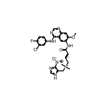 COc1cc2ncnc(Nc3ccc(F)c(Cl)c3)c2cc1NC(=O)/C=C/C[N+](C)(C)Cc1[nH]cnc1[N+](=O)[O-]